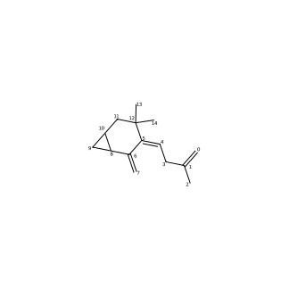 C=C(C)CC=C1C(=C)C2CC2CC1(C)C